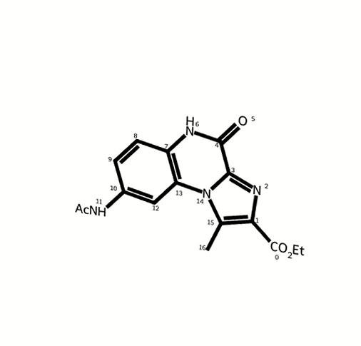 CCOC(=O)c1nc2c(=O)[nH]c3ccc(NC(C)=O)cc3n2c1C